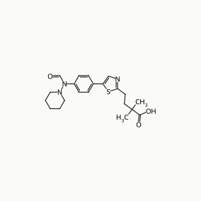 CC(C)(CCc1ncc(-c2ccc(N(C=O)N3CCCCC3)cc2)s1)C(=O)O